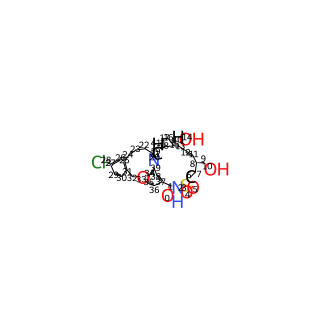 O=C1NS(=O)(=O)CC[C@H](CO)/C=C/[C@H](O)[C@@H]2CC[C@H]2CN2CCCCc3cc(Cl)ccc3COc3ccc1cc32